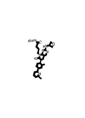 CNC(=O)CCCn1c(=O)c(-c2ccc(-c3cccc(C)n3)cc2C)cc2cnc(NC3COC3)nc21